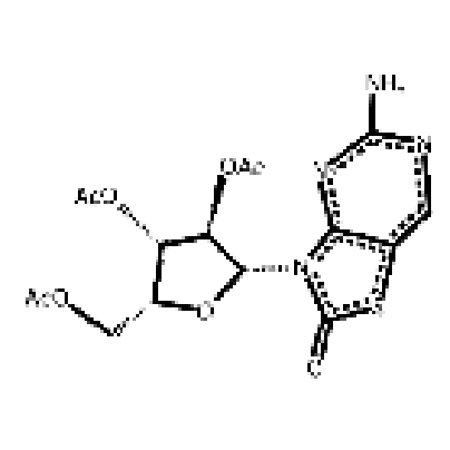 CC(=O)OC[C@H]1O[C@@H](n2c(=O)sc3cnc(N)nc32)[C@H](OC(C)=O)[C@H]1OC(C)=O